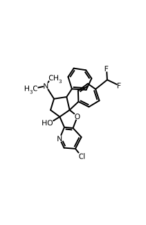 CN(C)C1CC2(O)c3ncc(Cl)cc3OC2(c2ccc(C(F)F)cc2)C1c1ccccc1